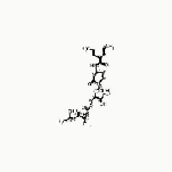 CCCC(CCC)C(=O)Nc1ccn([C@@H](C)OC(CO[PH](=O)N[C@@H](C)C(=O)OC(C)C)C(O)F)c(=O)n1